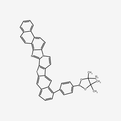 CC1(C)OB(c2ccc(-c3cccc4cc5sc6c(ccn7c8ccc9c%10ccccc%10ccc9c8nc67)c5cc34)cc2)OC1(C)C